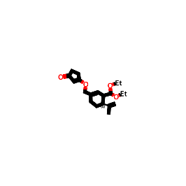 C=C(C)[C@H]1CCC(COC2=CC(=O)CC2)=CC1C(OCC)OCC